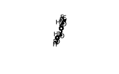 O=C(CN1CCC(CNC(=O)c2cccc(OC(F)(F)F)c2)CC1)NC1(C(F)(F)F)CC1